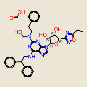 CCc1nc([C@H]2O[C@@H](n3cnc4c(NCC(c5ccccc5)c5ccccc5)nc(N(CO)CCc5ccccc5)nc43)[C@H](O)[C@@H]2O)no1.O=CO